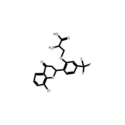 NC(COc1cc(C(F)(F)F)ccc1C1CC(=O)c2cccc(Cl)c2O1)C(=O)O